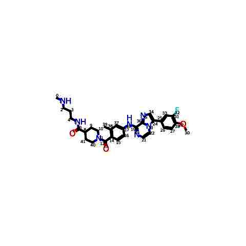 CNCCCNC(=O)C1CCN(C(=O)c2ccc(Nc3nccn4c(-c5ccc(OC)c(F)c5)cnc34)cc2C)CC1